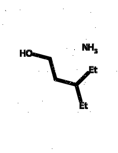 CCC(CC)CCO.N